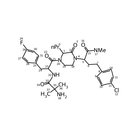 CCCC1C(=O)N(C(CCc2ccc(Cl)cc2)C(=O)NC)CCN1C(=O)C(Cc1ccc(F)cc1)NC(=O)C(C)(C)N